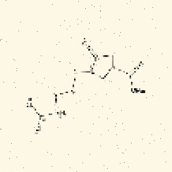 COC(=O)C1CC(=O)N(CCC[SiH2]C(Cl)Cl)C1